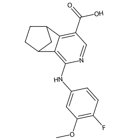 COc1cc(Nc2ncc(C(=O)O)c3c2C2CCC3C2)ccc1F